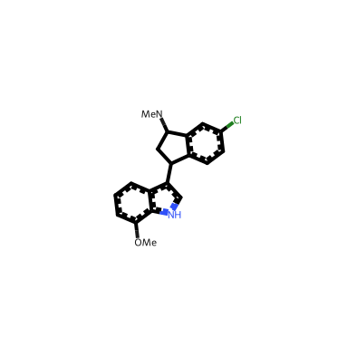 CNC1CC(c2c[nH]c3c(OC)cccc23)c2ccc(Cl)cc21